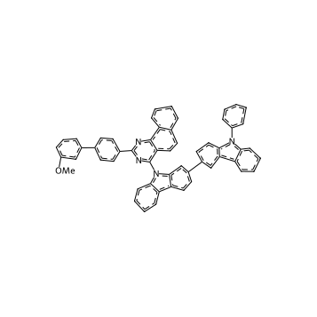 COc1cccc(-c2ccc(-c3nc(-n4c5ccccc5c5ccc(-c6ccc7c(c6)c6ccccc6n7-c6ccccc6)cc54)c4ccc5ccccc5c4n3)cc2)c1